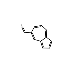 S=Cc1cccc2cccc-2c1